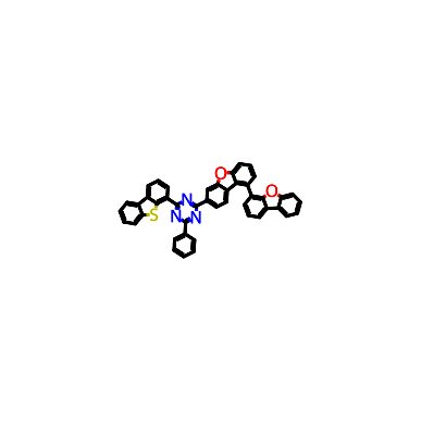 c1ccc(-c2nc(-c3ccc4c(c3)oc3cccc(-c5cccc6c5oc5ccccc56)c34)nc(-c3cccc4c3sc3ccccc34)n2)cc1